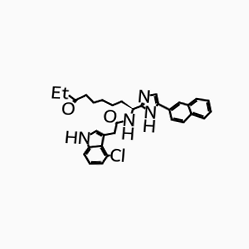 CCC(=O)CCCCC[C@H](NC(=O)Cc1c[nH]c2cccc(Cl)c12)c1ncc(-c2ccc3ccccc3c2)[nH]1